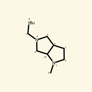 CN1CCC2CN(CC(C)(C)C)CC21